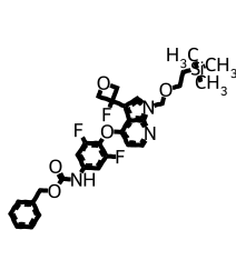 C[Si](C)(C)CCOCn1cc(C2(F)COC2)c2c(Oc3c(F)cc(NC(=O)OCc4ccccc4)cc3F)ccnc21